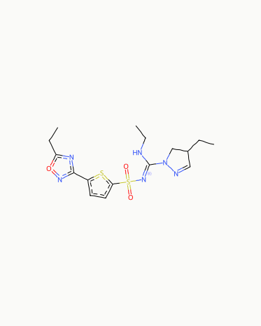 CCN/C(=N\S(=O)(=O)c1ccc(-c2noc(CC)n2)s1)N1CC(CC)C=N1